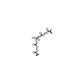 C=C(C)C(=O)OCOC(=O)COP(=O)(O)OCC(=O)OCOC(=O)C(=C)C